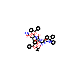 NC(=O)OCC1=C(C(=O)OC(c2ccccc2)c2ccccc2)N2C(=O)[C@@H](NC(=O)/C(=N\OCC3(C(=O)OC(c4ccccc4)c4ccccc4)CC3)c3csc(NC(c4ccccc4)(c4ccccc4)c4ccccc4)n3)[C@H]2SC1